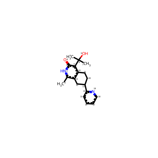 Cc1[nH]c(=O)c(C(C)(C)O)c2c1CC(c1ccccn1)CC2